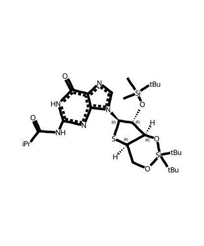 CC(C)C(=O)Nc1nc2c(ncn2[C@@H]2S[C@@H]3CO[Si](C(C)(C)C)(C(C)(C)C)O[C@@H]3[C@H]2O[Si](C)(C)C(C)(C)C)c(=O)[nH]1